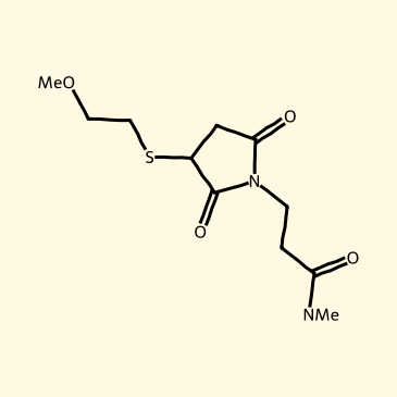 CNC(=O)CCN1C(=O)CC(SCCOC)C1=O